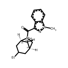 CCC1C[C@@H]2CN(C(=O)c3nn(C)c4ccccc34)[C@H](C1)[C@@H]2C